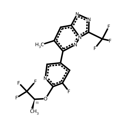 Cc1cc2nnc(C(F)(F)F)n2nc1-c1cnc(O[C@@H](C)C(F)(F)F)c(F)c1